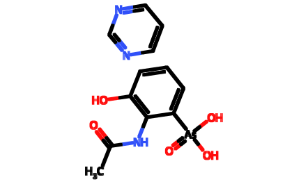 CC(=O)Nc1c(O)cccc1[As](=O)(O)O.c1cncnc1